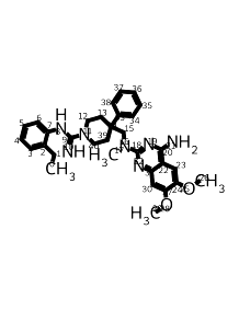 CCc1ccccc1NC(=N)N1CCC(CN(C)c2nc(N)c3cc(OC)c(OC)cc3n2)(c2ccccc2)CC1